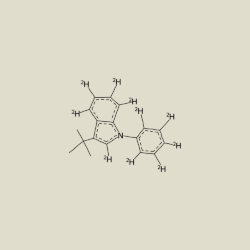 [2H]c1c([2H])c([2H])c(-n2c([2H])c(C(C)(C)C)c3c([2H])c([2H])c([2H])c([2H])c32)c([2H])c1[2H]